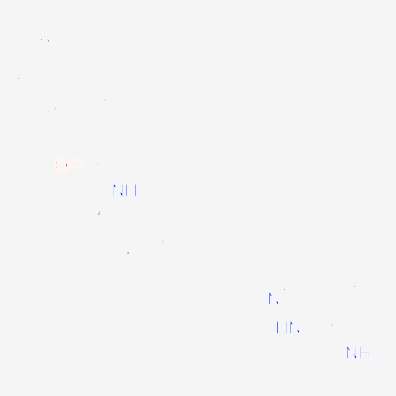 NC(=S)NN=CCCCc1ccccc1NC(=O)Cc1ccccc1